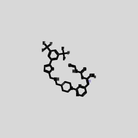 C/C(=C/c1ccnc(N2CCC(CNCc3ccc(-c4cc(C(F)(F)F)cc(C(F)(F)F)c4)o3)CC2)n1)SC(=O)NC=O